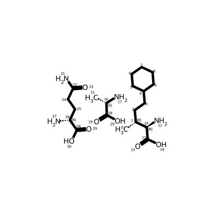 C[C@H](CCC1CCCCC1)[C@@H](N)C(=O)O.C[C@H](N)C(=O)O.NC(=O)CC[C@@H](N)C(=O)O